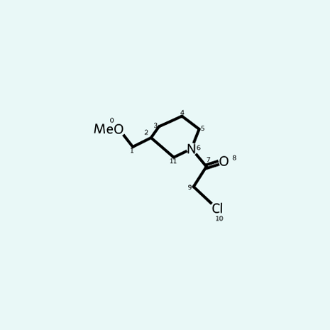 COCC1CCCN(C(=O)CCl)C1